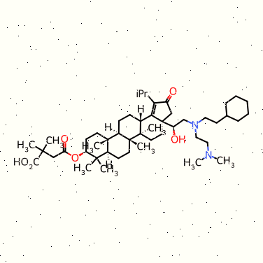 CC(C)C1=C2[C@H]3CC[C@@H]4[C@@]5(C)CC[C@H](OC(=O)CC(C)(C)C(=O)O)C(C)(C)[C@@H]5CC[C@@]4(C)[C@]3(C)CC[C@@]2([C@H](O)CN(CCC2CCCCC2)CCN(C)C)CC1=O